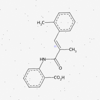 C/C(=C\c1ccccc1C)C(=O)Nc1ccccc1C(=O)O